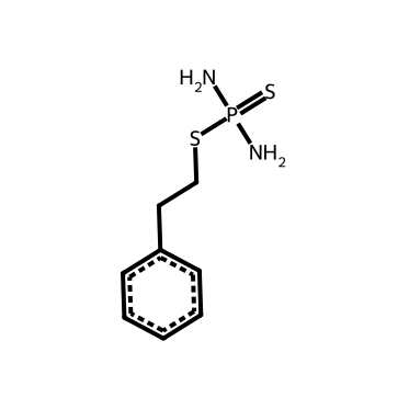 NP(N)(=S)SCCc1ccccc1